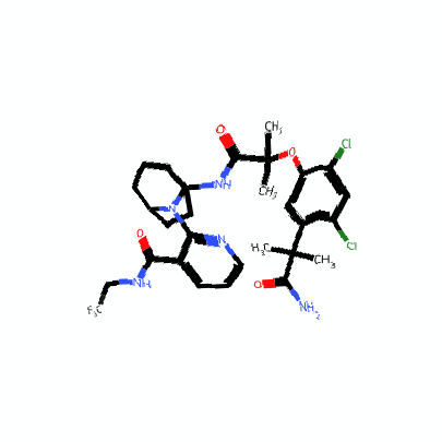 CC(C)(Oc1cc(C(C)(C)C(N)=O)c(Cl)cc1Cl)C(=O)NC12CCCC(CC1)N2c1ncccc1C(=O)NCC(F)(F)F